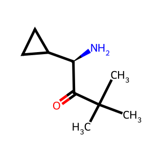 CC(C)(C)C(=O)[C@H](N)C1CC1